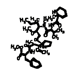 CC[C@H](C)[C@@H]([C@@H](CC(=O)[C@@]1([C@H](OC)[C@@H](C)C(=O)N[C@@H](Cc2ccccc2)C(=O)OC)CCCN1)OC)N(C)C(=O)[C@@H](NC(=O)[C@@]1(C)CCCCN1)C(C)C